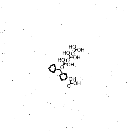 O=C(O)O.O=C(O)O.O=C(O)O.O=C(O)O.c1ccc(Cc2ccccc2)cc1